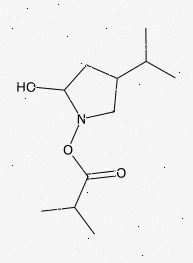 CC(C)C(=O)ON1CC(C(C)C)CC1O